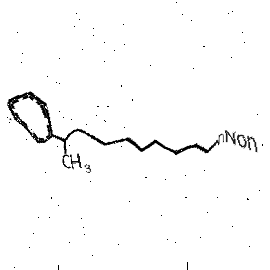 CCCCCCCCCCCCCCCCCC(C)c1c[c]ccc1